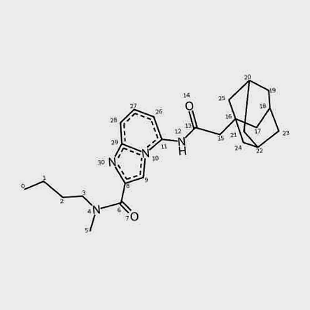 CCCCN(C)C(=O)c1cn2c(NC(=O)CC34CC5CC(CC(C5)C3)C4)cccc2n1